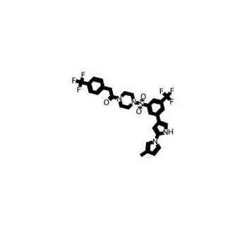 Cc1ccn(-c2cc(-c3cc(C(F)(F)F)cc(S(=O)(=O)N4CCN(C(=O)Cc5ccc(C(F)(F)F)cc5)CC4)c3)c[nH]2)c1